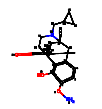 NOc1ccc2c(c1O)[C@]13CCN(CC4CC4)[C@H](C2)C1C=CC(=O)C3